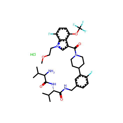 COCCn1cc(C(=O)N2CCC(c3cc(CNC(=O)[C@@H](NC(=O)C(N)C(C)C)C(C)C)ccc3F)CC2)c2c(OC(F)(F)F)ccc(F)c21.Cl